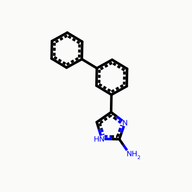 Nc1nc(-c2cccc(-c3ccccc3)c2)c[nH]1